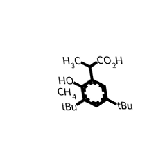 C.CC(C(=O)O)c1cc(C(C)(C)C)cc(C(C)(C)C)c1O